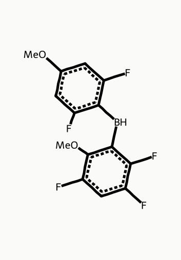 COc1cc(F)c(Bc2c(F)c(F)cc(F)c2OC)c(F)c1